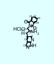 Cl.Cl.NC(Cc1cnc2[nH]ncc2c1)CN1C(=O)c2ccccc2C1=O